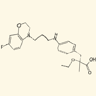 CCOC(C)(Cc1ccc(NCCCN2CCOc3cc(F)ccc32)cc1)C(=O)O